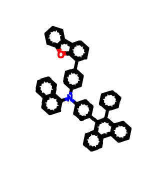 c1ccc(-c2c(-c3ccc(N(c4ccc(-c5cccc6c5oc5ccccc56)cc4)c4cccc5ccccc45)cc3)c3ccccc3c3ccccc23)cc1